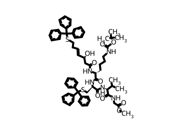 COC(=O)CNC(=O)[C@H](NC(=O)[C@@H](CSC(c1ccccc1)(c1ccccc1)c1ccccc1)NC(=O)[C@@H](CCCCNC(=O)OC(C)(C)C)NC(=O)C[C@H](O)/C=C/CCSC(c1ccccc1)(c1ccccc1)c1ccccc1)C(C)C